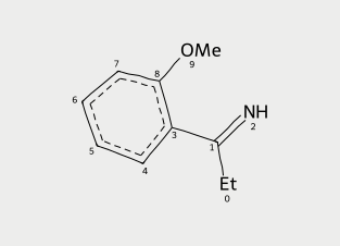 CCC(=N)c1ccccc1OC